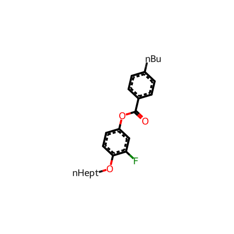 CCCCCCCOc1ccc(OC(=O)c2ccc(CCCC)cc2)cc1F